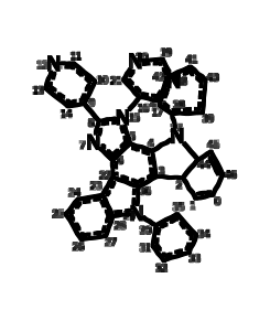 C1=CC2c3c(c4c(nc(-c5ccncc5)n4-c4cncnc4)c4c5ccccc5n(-c5ccccc5)c34)N(c3ccccc3)C2C=C1